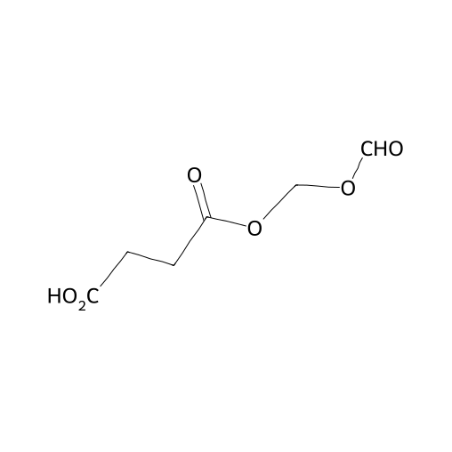 O=COCOC(=O)CCC(=O)O